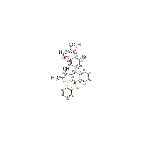 Cc1sc2c(Sc3ccccc3)c3ccccc3c(-c3cc(Br)c(OC(C)C(=O)O)c(Br)c3)c2c1C